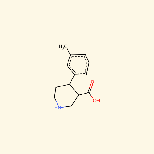 Cc1cccc(C2CCNCC2C(=O)O)c1